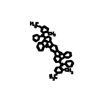 Cc1ccc(N(c2ccccc2)c2ccc3c4cc5c(cc4n4c6ccccc6c2c34)c2ccc(N(c3ccccc3)c3cc(C)ccc3C)c3c4ccccc4n5c23)c(C)c1